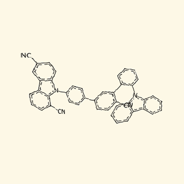 N#Cc1ccc2c(c1)c1cccc(C#N)c1n2-c1ccc(-c2ccc(C#N)c(-c3ccccc3-n3c4ccccc4c4ccccc43)c2)cc1